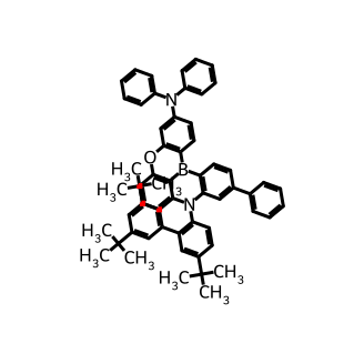 CC(C)(C)c1cc(-c2cc(C(C)(C)C)ccc2N2c3cc(-c4ccccc4)ccc3B3c4ccc(N(c5ccccc5)c5ccccc5)cc4Oc4cccc2c43)cc(C(C)(C)C)c1